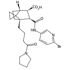 O=C(O)[C@@H]1[C@H]2CC[C@@](CCCC(=O)N3CCCC3)([C@@H]1C(=O)Nc1ccc(Br)nc1)C21CC1